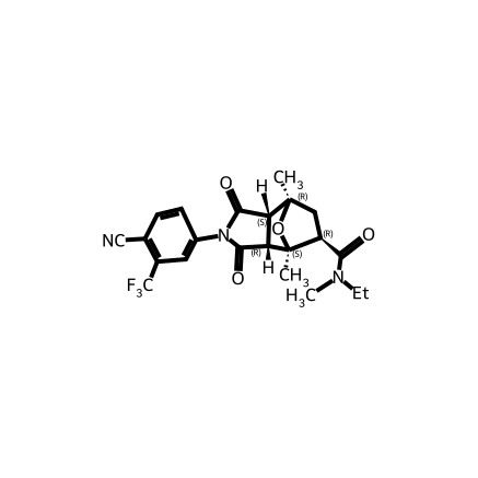 CCN(C)C(=O)[C@@H]1C[C@@]2(C)O[C@]1(C)[C@@H]1C(=O)N(c3ccc(C#N)c(C(F)(F)F)c3)C(=O)[C@@H]12